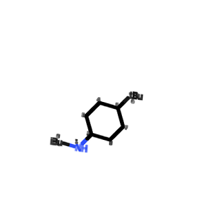 CCC(C)NC1CCC(C(C)(C)C)CC1